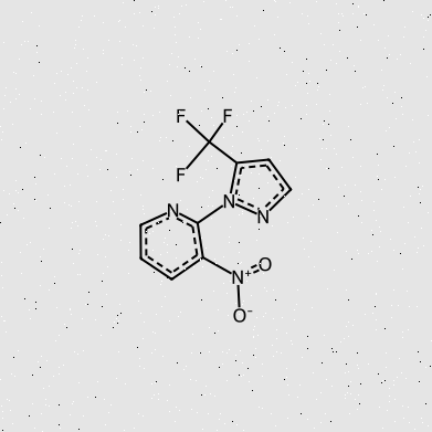 O=[N+]([O-])c1cccnc1-n1nccc1C(F)(F)F